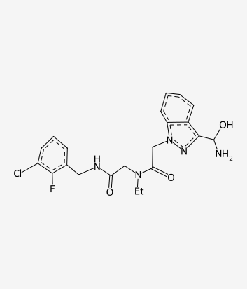 CCN(CC(=O)NCc1cccc(Cl)c1F)C(=O)Cn1nc(C(N)O)c2ccccc21